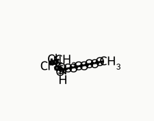 CCOCCOCCOCCOCCOCCOCCOCCNS(=O)(=O)c1cccc(C2CN(C)Cc3c(Cl)cc(Cl)cc32)c1